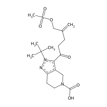 C=C(CCC(=O)c1c2c(nn1C(C)(C)C)CCN(C(=O)O)C2)COS(C)(=O)=O